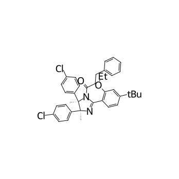 CCOc1cc(C(C)(C)C)ccc1C1=N[C@@](C)(c2ccc(Cl)cc2)[C@@](C)(c2ccc(Cl)cc2)N1C(=O)CCc1ccccc1